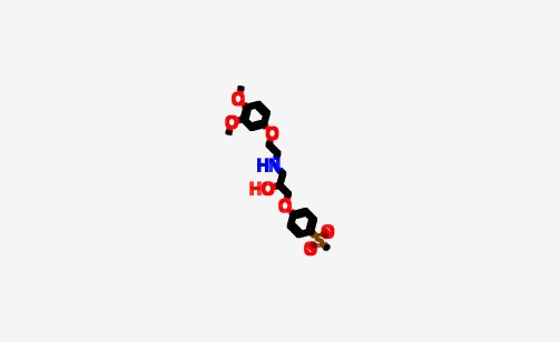 COc1ccc(OCCNCC(O)COc2ccc(S(C)(=O)=O)cc2)cc1OC